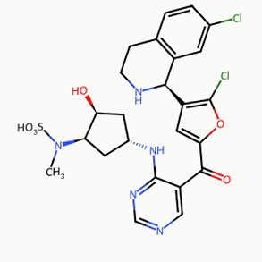 CN([C@@H]1C[C@@H](Nc2ncncc2C(=O)c2cc([C@H]3NCCc4ccc(Cl)cc43)c(Cl)o2)C[C@@H]1O)S(=O)(=O)O